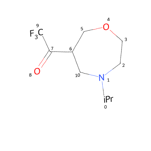 CC(C)N1CCOCC(C(=O)C(F)(F)F)C1